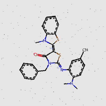 CN(C)c1ccc(C#N)cc1/N=C1\S/C(=C2\Sc3ccccc3N2C)C(=O)N1Cc1ccccc1